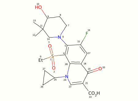 CCS(=O)(=O)c1c(N2CCC(O)C(C)(C)C2)c(F)cc2c(=O)c(C(=O)O)cn(C3CC3)c12